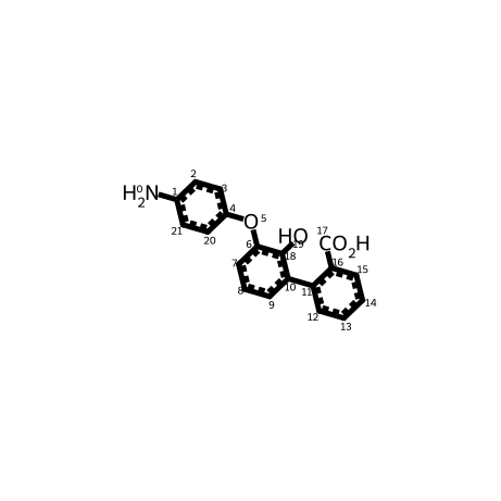 Nc1ccc(Oc2cccc(-c3ccccc3C(=O)O)c2O)cc1